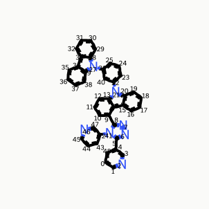 c1cncc(-c2nnc(-c3cccc4c3c3ccccc3n4-c3cccc(-n4c5ccccc5c5ccccc54)c3)n2-c2cccnc2)c1